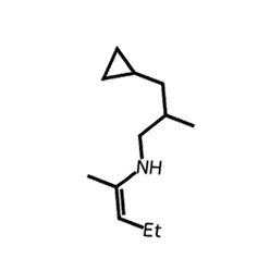 CC/C=C(/C)NCC(C)CC1CC1